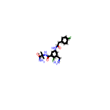 CC(C)(NC(=O)c1cc(NC(=O)Cc2ccc(F)cc2)cc(CN)c1F)C(N)=O